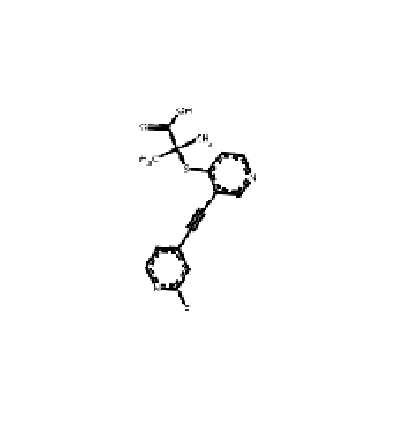 CC(C)(Sc1ccncc1C#Cc1ccnc(F)c1)C(=O)O